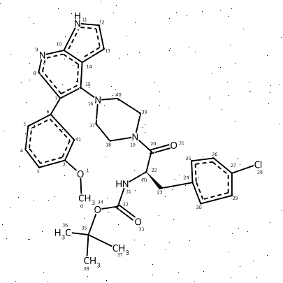 COc1cccc(-c2cnc3[nH]ccc3c2N2CCN(C(=O)[C@@H](Cc3ccc(Cl)cc3)NC(=O)OC(C)(C)C)CC2)c1